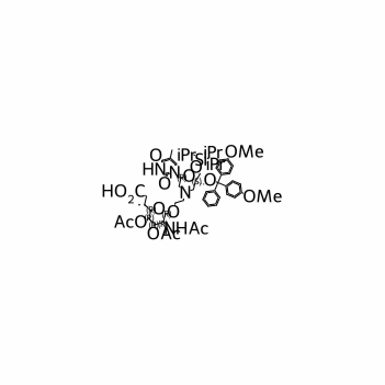 COc1ccc(C(OC[C@]2(CO[Si](C(C)C)(C(C)C)C(C)C)CN(CCO[C@@H]3O[C@H]([CH]CC(=O)O)[C@@H](OC(C)=O)[C@H](OC(C)=O)[C@H]3NC(C)=O)C[C@H](n3cc(C)c(=O)[nH]c3=O)O2)(c2ccccc2)c2ccc(OC)cc2)cc1